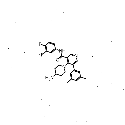 Cc1cc(C)cc(-c2cncc(C(=O)Nc3ccc(F)c(F)c3)c2N2CCC(N)CC2)c1